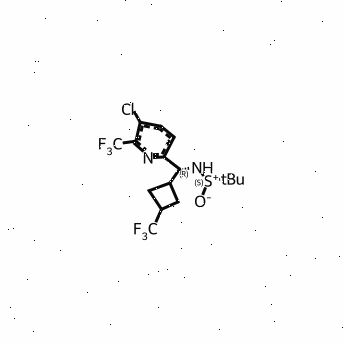 CC(C)(C)[S@@+]([O-])N[C@@H](c1ccc(Cl)c(C(F)(F)F)n1)C1CC(C(F)(F)F)C1